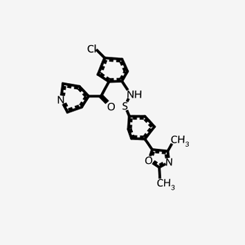 Cc1nc(C)c(-c2ccc(SNc3ccc(Cl)cc3C(=O)c3ccncc3)cc2)o1